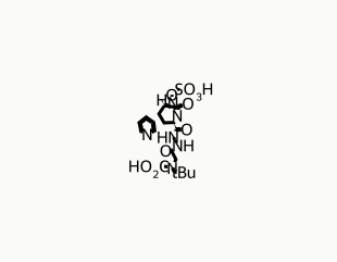 CC(C)(C)N(CC(=O)NNC(=O)[C@@H]1CC[C@@H]2CN1C(=O)N2OS(=O)(=O)O)C(=O)O.c1ccncc1